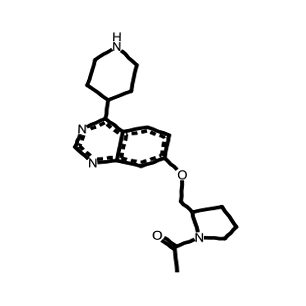 CC(=O)N1CCCC1COc1ccc2c(C3CCNCC3)ncnc2c1